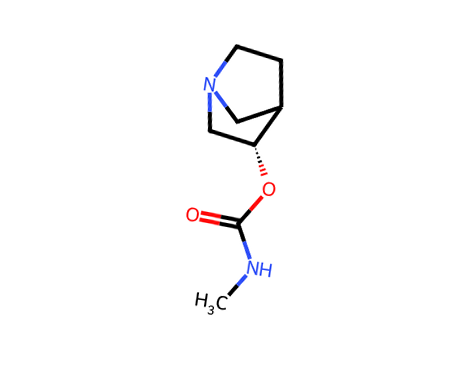 CNC(=O)O[C@@H]1CN2CCC1C2